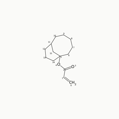 C=CC(=O)OC12CCCCCC(CCC1)C2